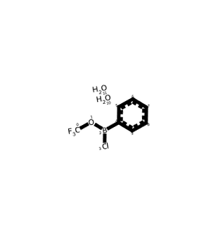 FC(F)(F)OB(Cl)c1ccccc1.O.O